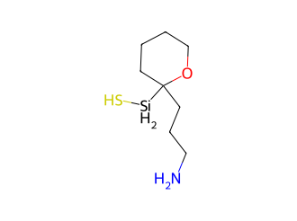 NCCCC1([SiH2]S)CCCCO1